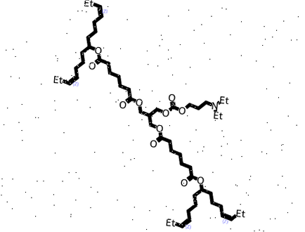 CC/C=C\CCCC(CCC/C=C\CC)OC(=O)CCCCCC(=O)OCC(COC(=O)CCCCCC(=O)OC(CCC/C=C\CC)CCC/C=C\CC)COC(=O)OCCCN(CC)CC